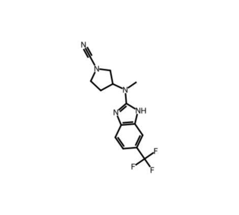 CN(c1nc2ccc(C(F)(F)F)cc2[nH]1)C1CCN(C#N)C1